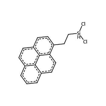 Cl[SiH](Cl)CCc1ccc2ccc3cccc4ccc1c2c34